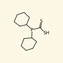 S=C(S)P(C1CCCCC1)C1CCCCC1